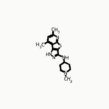 Cc1cc(C)c2c(n1)sc1c(NC3CCN(C)CC3)n[nH]c12